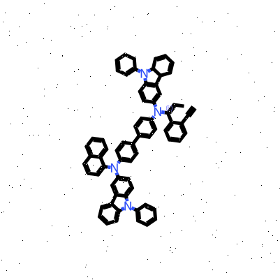 C#Cc1ccccc1/C(=C\C)N(c1ccc(-c2ccc(N(c3ccc4c(c3)c3ccccc3n4-c3ccccc3)c3cccc4ccccc34)cc2)cc1)c1ccc2c(c1)C1C=CC=CC1N2C1=CC=CCC1